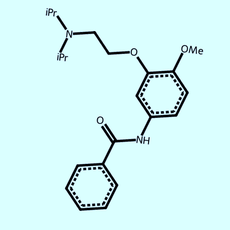 COc1ccc(NC(=O)c2ccccc2)cc1OCCN(C(C)C)C(C)C